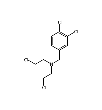 ClCCN(CCCl)Cc1ccc(Cl)c(Cl)c1